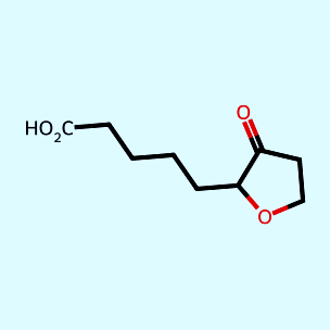 O=C(O)CCCCC1OCCC1=O